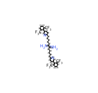 N[C@@H](CCCCCc1ccc(-c2c(C(F)(F)F)cccc2C(F)(F)F)cn1)[C@@H](N)CCCCCc1ccc(-c2c(C(F)(F)F)cccc2C(F)(F)F)cn1